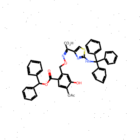 CC(=O)Oc1cc(C(=O)OC(c2ccccc2)c2ccccc2)c(CON=C(C(=O)O)c2csc(NC(c3ccccc3)(c3ccccc3)c3ccccc3)n2)cc1O